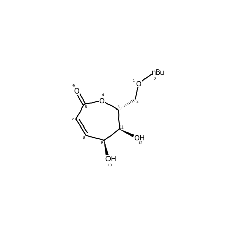 CCCCOC[C@H]1OC(=O)C=C[C@H](O)[C@@H]1O